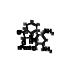 CCCCCOc1ncc(N)cc1N.O=C1Nc2ccccc2C1=O